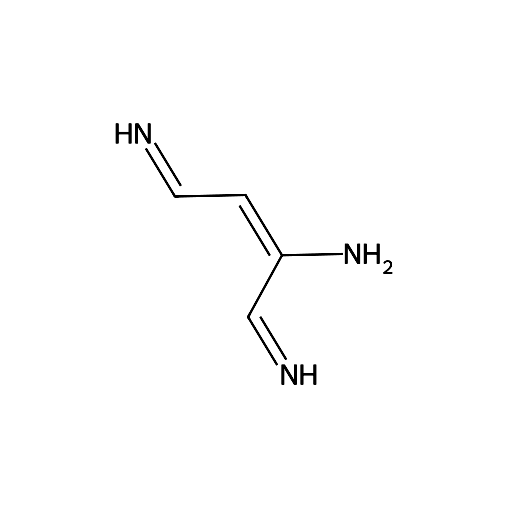 N=C/C=C(/N)C=N